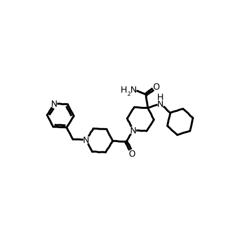 NC(=O)C1(NC2CCCCC2)CCN(C(=O)C2CCN(Cc3ccncc3)CC2)CC1